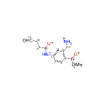 COC(=O)c1ccc(NC(=O)CCC=O)cc1CN